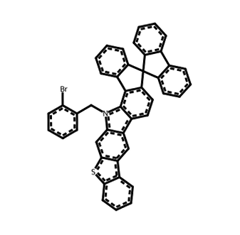 Brc1ccccc1Cn1c2cc3sc4ccccc4c3cc2c2ccc3c(c21)-c1ccccc1C31c2ccccc2-c2ccccc21